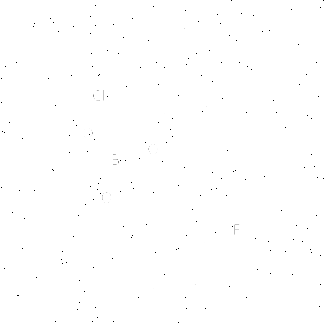 Fc1cccc(OB(OCl)Oc2ccccc2)c1